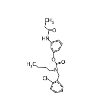 CCCCN(Cc1ccccc1Cl)C(=O)Oc1cccc(NC(=O)CC)c1